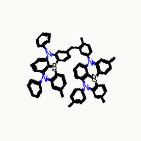 Cc1ccc(N2c3cc(C)ccc3B3c4ccc(C)cc4N(c4ccc(C)c(Cc5ccc6c(c5)N(c5ccccc5)c5cccc7c5B6c5ccc(C)cc5N7c5ccccc5)c4)c4cccc2c43)cc1